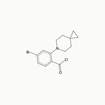 O=C(Cl)c1ccc(Br)cc1N1CCC2(CC1)CC2